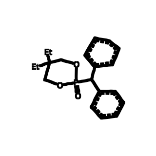 CCC1(CC)COP(=O)(C(c2ccccc2)c2ccccc2)OC1